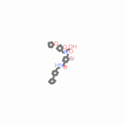 O=C(O)C(=O)N(Cc1ccc(Oc2ccccc2)cc1)Cc1ccc(C(=O)NCCc2ccc(-c3ccccc3)cc2)cc1Br